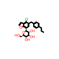 CCCc1ccc(Cc2cc([C@@H]3O[C@H](CO)[C@@H](O)[C@H](O)[C@H]3O)c3occc3c2Cl)cc1